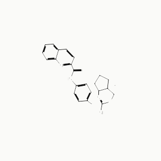 NC1=N[C@@]2(c3cc(NC(=O)c4ccc5ccccc5n4)ccc3F)CCC[C@H]2CS1